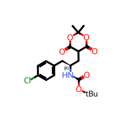 CC(C)(C)OC(=O)N[C@@H](Cc1ccc(Cl)cc1)CC1C(=O)OC(C)(C)OC1=O